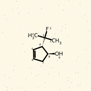 CC(C)(F)[C@H]1C=CC[C@@H]1O